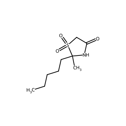 CCCCCC1(C)NC(=O)CS1(=O)=O